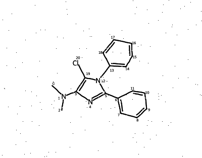 CN(C)c1nc(-c2ccccc2)n(-c2ccccc2)c1Cl